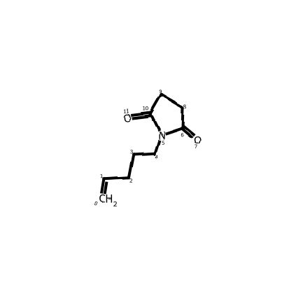 C=CCCCN1C(=O)CCC1=O